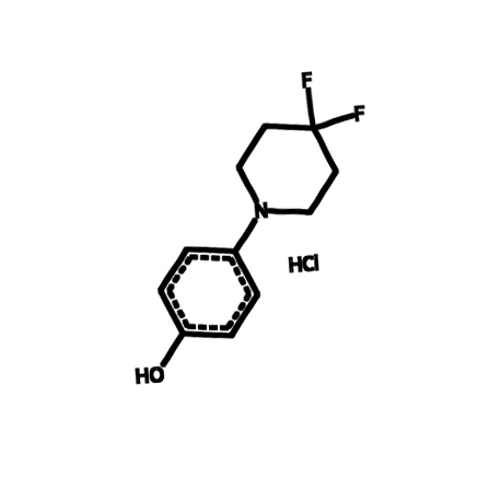 Cl.Oc1ccc(N2CCC(F)(F)CC2)cc1